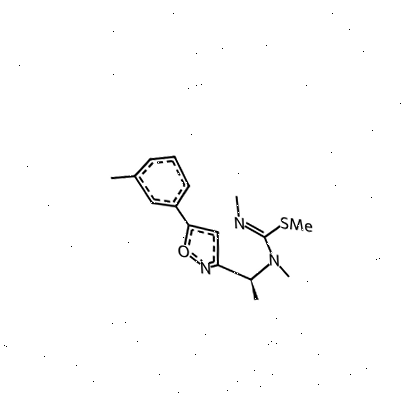 CN=C(SC)N(C)[C@@H](C)c1cc(-c2cccc(C)c2)on1